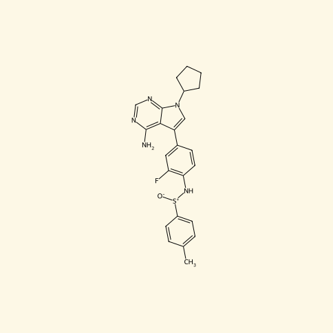 Cc1ccc([S+]([O-])Nc2ccc(-c3cn(C4CCCC4)c4ncnc(N)c34)cc2F)cc1